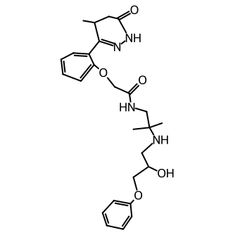 CC1CC(=O)NN=C1c1ccccc1OCC(=O)NCC(C)(C)NCC(O)COc1ccccc1